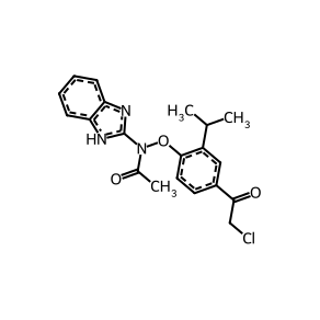 CC(=O)N(Oc1ccc(C(=O)CCl)cc1C(C)C)c1nc2ccccc2[nH]1